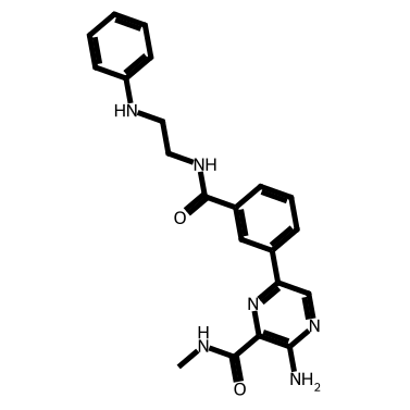 CNC(=O)c1nc(-c2cccc(C(=O)NCCNc3ccccc3)c2)cnc1N